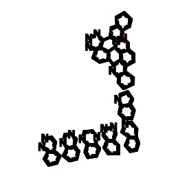 c1ccc2cnccc2c1.c1ccc2cnncc2c1.c1ccc2ncccc2c1.c1ccc2nccnc2c1.c1ccc2ncncc2c1.c1ccc2nnc(-c3nnnc4ccc(-c5ccc6ccccc6n5)c(-c5nccc6ccccc56)c34)cc2c1.c1ccc2nnccc2c1